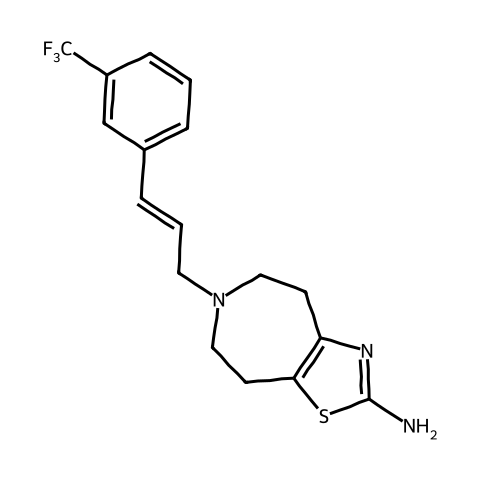 Nc1nc2c(s1)CCN(C/C=C/c1cccc(C(F)(F)F)c1)CC2